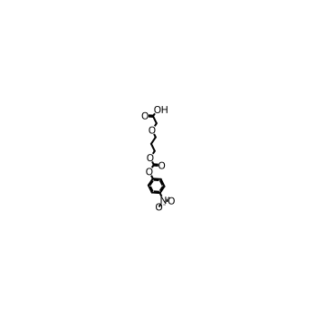 O=C(O)COCCCOC(=O)Oc1ccc([N+](=O)[O-])cc1